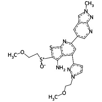 COCCn1ccc(-c2cc(-c3cnc4nn(C)cc4c3)nc3sc([S@@+]([O-])CCOC)c(N)c23)n1